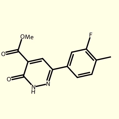 COC(=O)c1cc(-c2ccc(C)c(F)c2)n[nH]c1=O